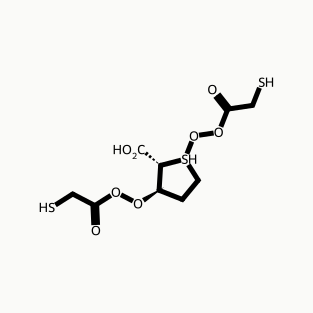 O=C(CS)OO[C@@H]1CC[SH](OOC(=O)CS)[C@H]1C(=O)O